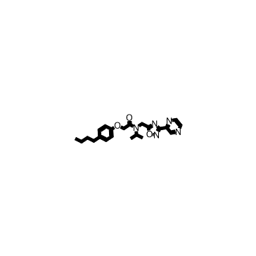 CCCCc1ccc(OCC(=O)N(Cc2nc(-c3cnccn3)no2)C(C)C)cc1